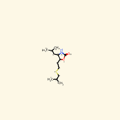 CC(C)CSCCC1OC(=O)NC1CC(C)C